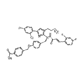 CCCCn1cc(-c2ccc(Cl)cc2Cl)nc1[C@H](Cc1ccc(OCc2ccc(C(=O)O)cc2)cc1)NC(=O)C=Cc1ccc(F)cc1F